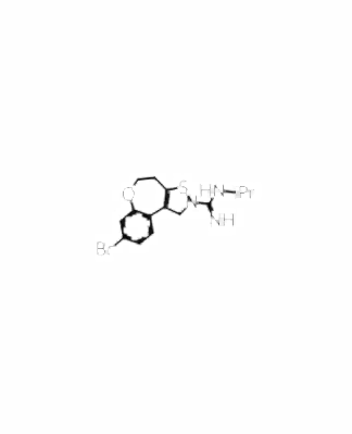 CC(C)NC(=N)N1CC2=C(CCOc3cc(Br)ccc32)S1